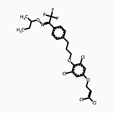 CCC(C)ON=C(c1ccc(CCCOc2c(Cl)cc(OCC=C(Cl)Cl)cc2Cl)cc1)C(F)(F)F